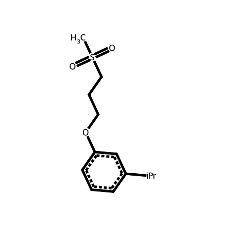 CC(C)c1cccc(OCCCS(C)(=O)=O)c1